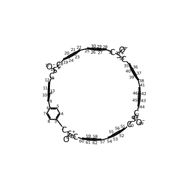 [O-][S+]1Cc2ccc(cc2)-c2ccc(cc2)C[S+]([O-])Cc2ccc(cc2)-c2ccc(cc2)C[S+]([O-])Cc2ccc(cc2)-c2ccc(cc2)C[S+]([O-])Cc2ccc(cc2)-c2ccc(cc2)C1